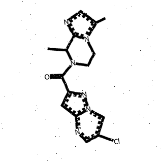 Cc1cnc2n1CCN(C(=O)c1cc3ncc(Cl)cn3n1)C2C